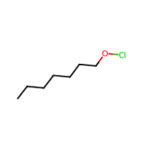 CCCCCCCOCl